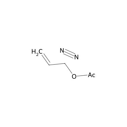 C=CCOC(C)=O.N#N